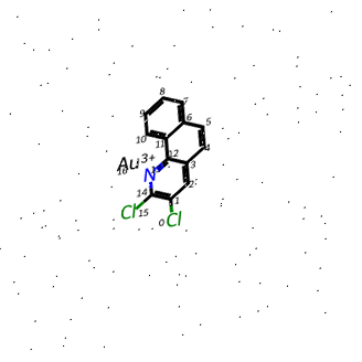 Clc1cc2ccc3ccccc3c2nc1Cl.[Au+3]